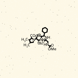 CCOC(=O)C1[C@@H](C)[C@@H](C)CN1C(=O)[C@@H](NC(=O)[C@@H](NC(=O)CNC(=O)OC)C1CCCCC1)C(C)(C)C